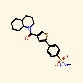 CNS(=O)(=O)c1ccc(-c2cc(C(=O)N3CCCC4CCCCC43)cs2)cc1